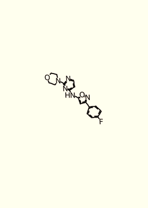 Fc1ccc(-c2cc(Nc3ccnc(N4CCOCC4)n3)on2)cc1